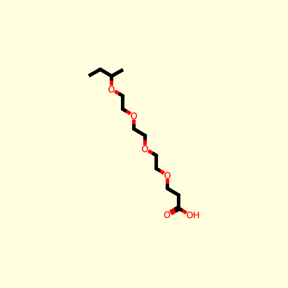 CCC(C)OCCOCCOCCOCCC(=O)O